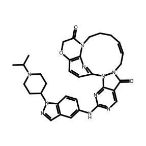 CC(C)N1CCC(n2ncc3cc(Nc4ncc5c(=O)n6n(c5n4)-c4ccc5c(n4)N(CCC/C=C\C6)C(=O)CO5)ccc32)CC1